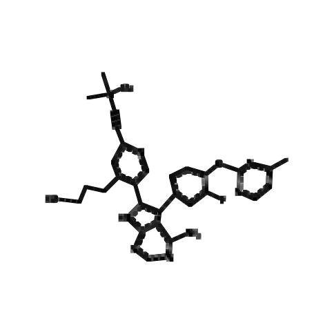 Cc1ccnc(Oc2ccc(-c3c(-c4cnc(C#C[Si](C)(C)C(C)(C)C)cc4CCCO)[nH]c4ncnc(N)c34)cc2F)n1